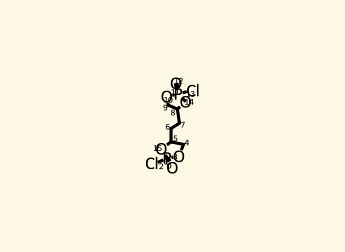 O=P1(Cl)OCC(CCC2COP(=O)(Cl)O2)O1